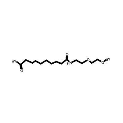 CC(C)OCCOCCNC(=O)CCCCCCCCC(=O)C(C)C